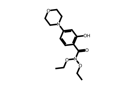 CCON(OCC)C(=O)c1ccc(N2CCOCC2)cc1O